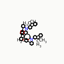 C=C1/C=C\C(N(c2ccc3c(c2)C(C)(C)c2ccccc2-3)c2ccccc2-c2ccccc2)=C/Cc2cc(N(c3ccc4c(c3)C(C)(C)c3ccccc3-4)c3ccccc3-c3ccccc3)ccc2C12c1ccccc1-c1ccccc12